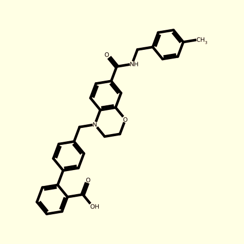 Cc1ccc(CNC(=O)c2ccc3c(c2)OCCN3Cc2ccc(-c3ccccc3C(=O)O)cc2)cc1